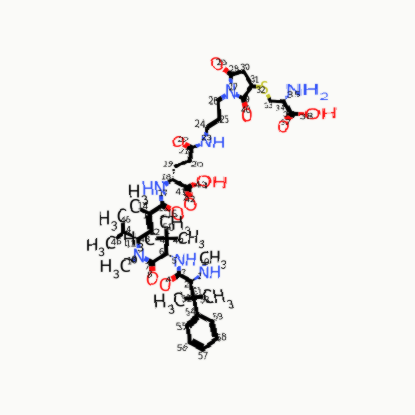 CN[C@H](C(=O)N[C@H](C(=O)N(C)[C@H](/C=C(\C)C(=O)N[C@H](CCC(=O)NCCCN1C(=O)CC(SC[C@H](N)C(=O)O)C1=O)C(=O)O)C(C)C)C(C)(C)C)C(C)(C)c1ccccc1